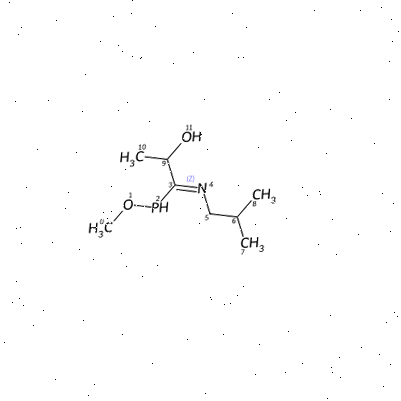 COP/C(=N\CC(C)C)C(C)O